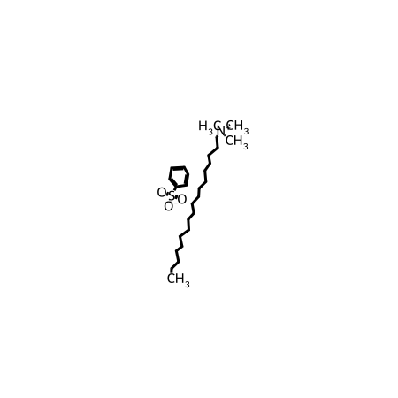 CCCCCCCCCCCCCCCCCC[N+](C)(C)C.O=S(=O)([O-])c1ccccc1